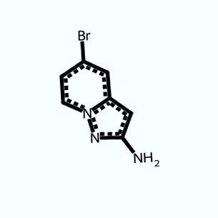 Nc1cc2cc(Br)ccn2n1